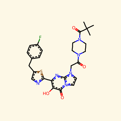 CC(C)(C)C(=O)N1CCN(C(=O)Cn2ccn3c(=O)c(O)c(-c4ncc(Cc5ccc(F)cc5)s4)nc23)CC1